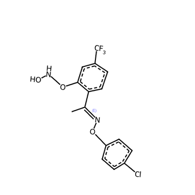 C/C(=N\Oc1ccc(Cl)cc1)c1ccc(C(F)(F)F)cc1ONO